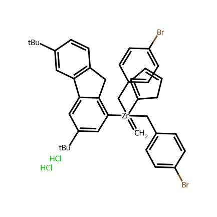 Cl.Cl.[CH2]=[Zr]([CH2]c1ccc(Br)cc1)([CH2]c1ccc(Br)cc1)([C]1=CC=CC1)[c]1cc(C(C)(C)C)cc2c1Cc1ccc(C(C)(C)C)cc1-2